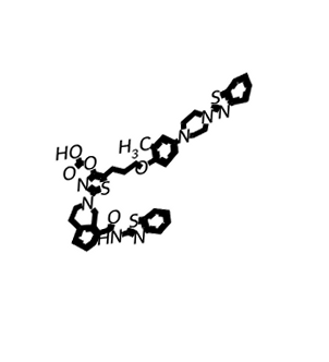 Cc1cc(N2CCN(c3nc4ccccc4s3)CC2)ccc1OCCCc1sc(N2CCc3cccc(C(=O)Nc4nc5ccccc5s4)c3C2)nc1OC(=O)O